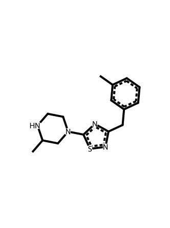 Cc1cccc(Cc2nsc(N3CCNC(C)C3)n2)c1